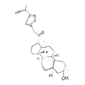 CC(=N)c1cn(CC(=O)[C@H]2CC[C@H]3[C@@H]4CC[C@@H]5C[C@](C)(O)CC[C@]5(C)[C@H]4CC[C@]23C)cn1